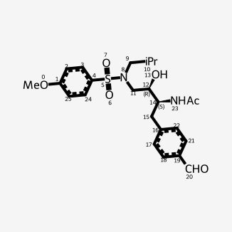 COc1ccc(S(=O)(=O)N(CC(C)C)C[C@@H](O)[C@H](Cc2ccc(C=O)cc2)NC(C)=O)cc1